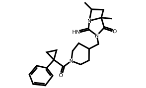 CC1CC2(C)C(=O)N(CC3CCN(C(=O)C4(c5ccccc5)CC4)CC3)C(=N)N12